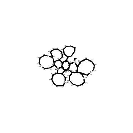 CN1c2c(C3CCCCCCC3)c3c4c(c2C2CCCCCCCC5CCCCCCCC1C52)C1CCCCCCCC1N4C1CCCCCCCC2CCCCCC3C21